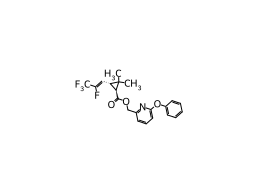 CC1(C)[C@@H](C=C(F)C(F)(F)F)[C@@H]1C(=O)OCc1cccc(Oc2ccccc2)n1